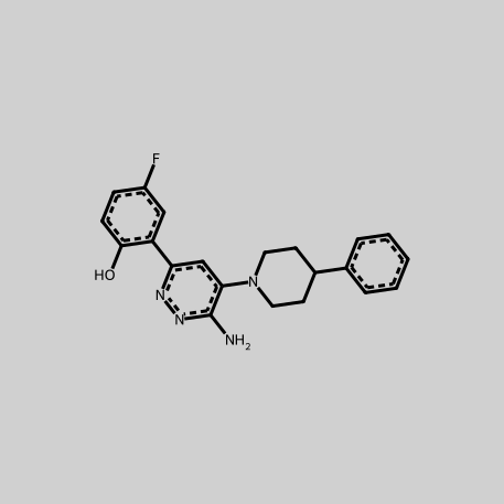 Nc1nnc(-c2cc(F)ccc2O)cc1N1CCC(c2ccccc2)CC1